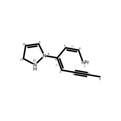 CC#C/C=C(\C=C/CCC)N1C=CCN1